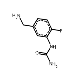 NCc1ccc(F)c(NC(N)=O)c1